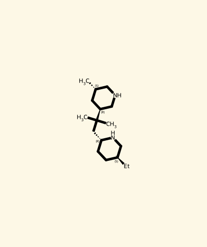 CC[C@H]1CC[C@H](CC(C)(C)[C@@H]2CNC[C@@H](C)C2)NC1